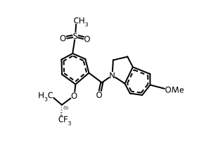 COc1ccc2c(c1)CCN2C(=O)c1cc(S(C)(=O)=O)ccc1O[C@@H](C)C(F)(F)F